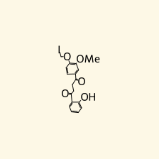 COc1cc(C(=O)CCC(=O)c2ccccc2O)ccc1OCI